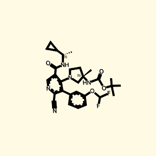 C[C@H](NC(=O)c1cnc(C#N)c(-c2cccc(OC(F)F)c2)c1N1CC[C@](C)(NC(=O)OC(C)(C)C)C1)C1CC1